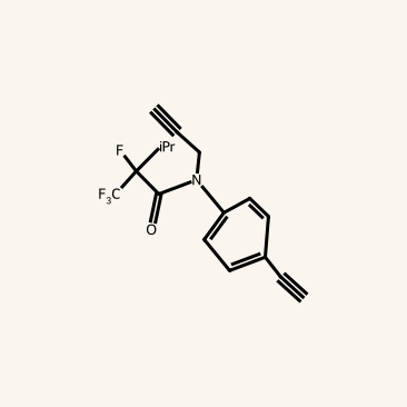 C#CCN(C(=O)C(F)(C(C)C)C(F)(F)F)c1ccc(C#C)cc1